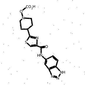 O=C(O)ON1CCC(c2nc(C(=O)Nc3ccc4[nH]nnc4c3)cs2)CC1